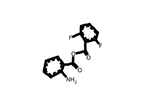 Nc1ccccc1C(=O)OC(=O)c1c(F)cccc1F